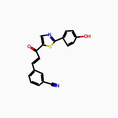 N#Cc1cccc(C=CC(=O)c2[c]nc(-c3ccc(O)cc3)s2)c1